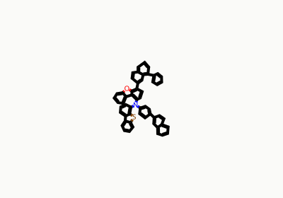 c1ccc(-c2cccc3ccc(-c4ccc(N(c5ccc(-c6ccc7ccccc7c6)cc5)c5cccc6c5sc5ccccc56)c5c4oc4ccccc45)cc23)cc1